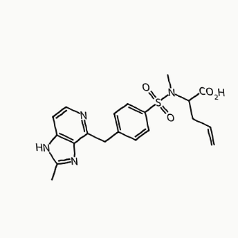 C=CCC(C(=O)O)N(C)S(=O)(=O)c1ccc(Cc2nccc3[nH]c(C)nc23)cc1